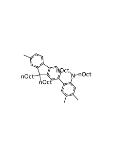 CCCCCCCCN(CCCCCCCC)c1cc(C)c(C)cc1-c1ccc2c(c1)C(CCCCCCCC)(CCCCCCCC)c1cc(C)ccc1-2